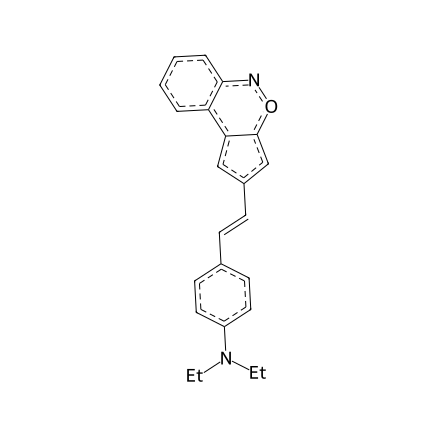 CCN(CC)c1ccc(C=Cc2cc3onc4ccccc4c-3c2)cc1